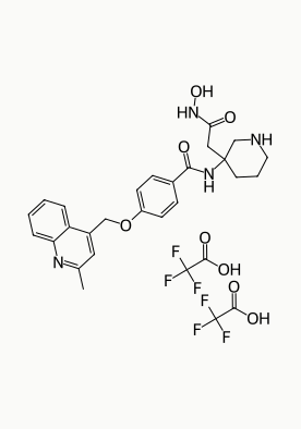 Cc1cc(COc2ccc(C(=O)NC3(CC(=O)NO)CCCNC3)cc2)c2ccccc2n1.O=C(O)C(F)(F)F.O=C(O)C(F)(F)F